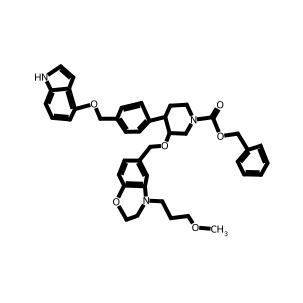 COCCCN1CCOc2ccc(COC3CN(C(=O)OCc4ccccc4)CCC3c3ccc(COc4cccc5[nH]ccc45)cc3)cc21